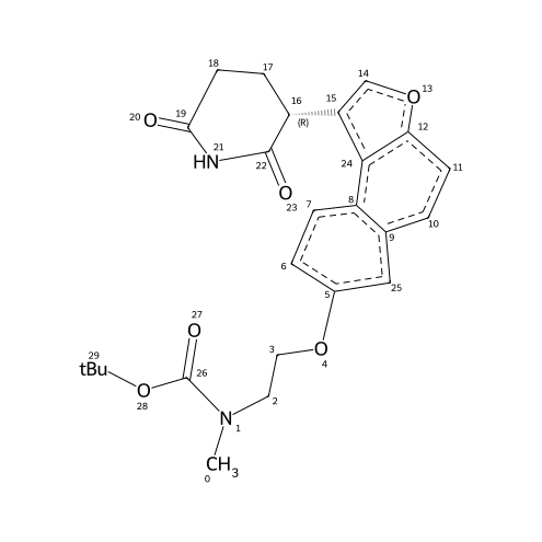 CN(CCOc1ccc2c(ccc3occ([C@H]4CCC(=O)NC4=O)c32)c1)C(=O)OC(C)(C)C